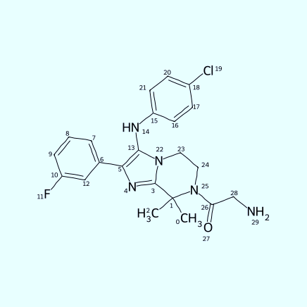 CC1(C)c2nc(-c3cccc(F)c3)c(Nc3ccc(Cl)cc3)n2CCN1C(=O)CN